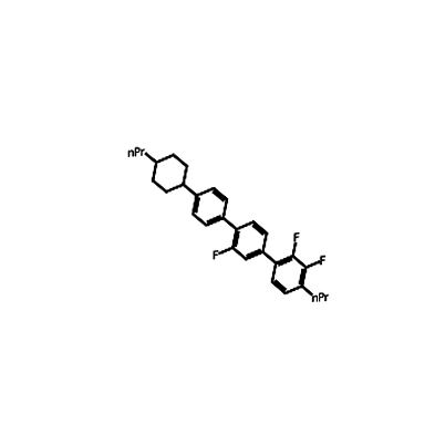 CCCc1ccc(-c2ccc(-c3ccc(C4CCC(CCC)CC4)cc3)c(F)c2)c(F)c1F